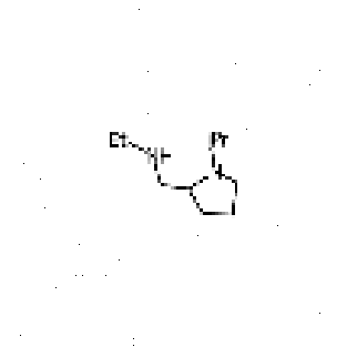 CCNCC1CCCN1C(C)C